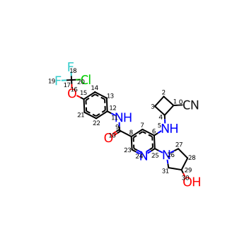 N#CC1CCC1Nc1cc(C(=O)Nc2ccc(OC(F)(F)Cl)cc2)cnc1N1CCC(O)C1